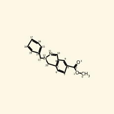 COC(=O)c1ccc2c(c1)C=NN(Cc1ccccc1)C2